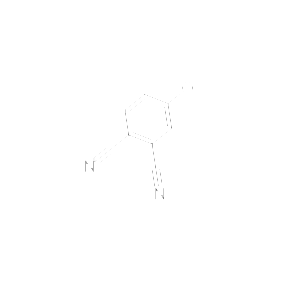 N#Cc1ccc([O])cc1C#N